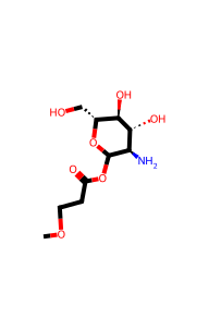 COCCC(=O)OC1O[C@H](CO)[C@@H](O)[C@H](O)[C@H]1N